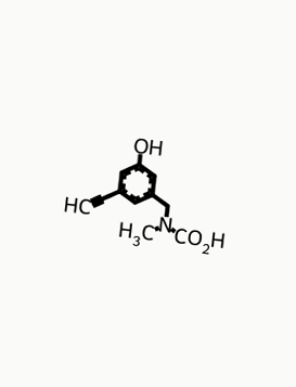 C#Cc1cc(O)cc(CN(C)C(=O)O)c1